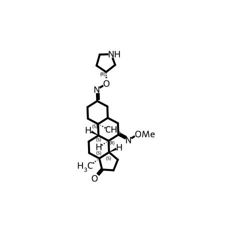 CON=C1CC2CC(=NO[C@@H]3CCNC3)CC[C@]2(C)[C@H]2CC[C@]3(C)C(=O)CC[C@H]3[C@H]12